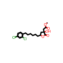 COC(=O)CC1(O)CC(CCCCCCc2ccc(Cl)cc2Cl)OC1=O